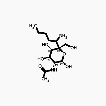 CCCCC(N)[C@]1(CO)O[C@@H](O)[C@H](NC(C)=O)[C@@H](O)[C@@H]1O